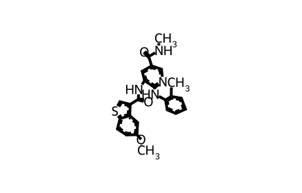 CNC(=O)c1cnc(Nc2ccccc2C)c(NC(=O)c2csc3ccc(OC)cc23)c1